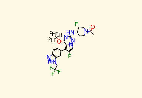 [2H]C([2H])([2H])Oc1nc(N[C@H]2CCN(C(C)=O)C[C@H]2F)nn2cc(F)c(-c3ccc4nnn(CC(F)(F)F)c4c3)c12